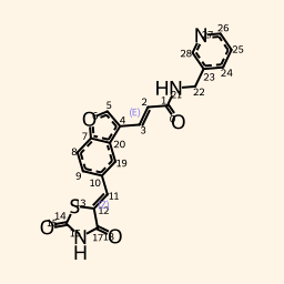 O=C(/C=C/c1coc2ccc(/C=C3\SC(=O)NC3=O)cc12)NCc1cccnc1